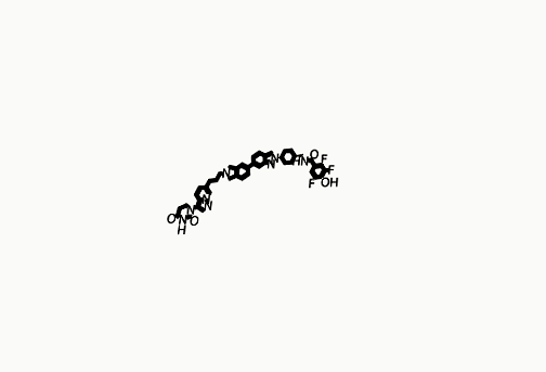 O=C1CCN(c2cnn3cc(CCCN4Cc5ccc(-c6ccc7cn([C@H]8CC[C@H](CNC(=O)c9cc(F)c(O)c(F)c9F)CC8)nc7c6)cc5C4)ccc23)C(=O)N1